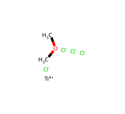 COC.[Cl-].[Cl-].[Cl-].[Cl-].[Ti+4]